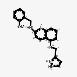 COc1ccccc1CNc1ccc2c(NCc3cc[nH]n3)cccc2n1